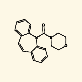 O=C(N1CCOCC1)N1c2ccccc2C=Cc2ccccc21